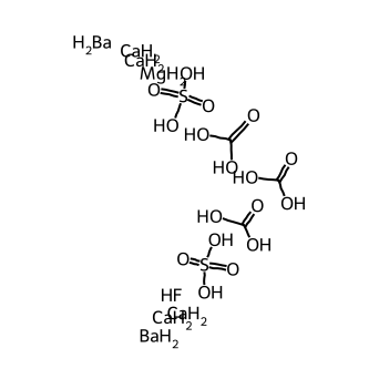 F.O=C(O)O.O=C(O)O.O=C(O)O.O=S(=O)(O)O.O=S(=O)(O)O.[BaH2].[BaH2].[CaH2].[CaH2].[CaH2].[CaH2].[MgH2]